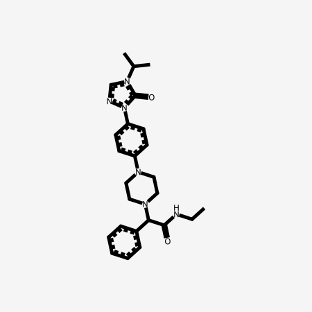 CCNC(=O)C(c1ccccc1)N1CCN(c2ccc(-n3ncn(C(C)C)c3=O)cc2)CC1